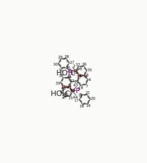 CC(C)(C(=O)O)c1cccc(P(c2ccccc2)c2ccccc2)c1-c1c(P(c2ccccc2)c2ccccc2)cccc1C(C)(C)C(=O)O